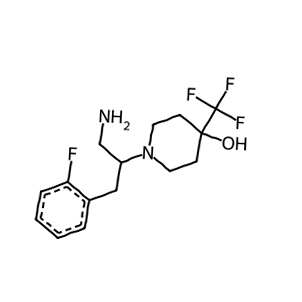 NCC(Cc1ccccc1F)N1CCC(O)(C(F)(F)F)CC1